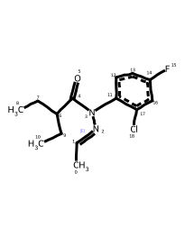 C/C=N/N(C(=O)C(CC)CC)c1ccc(F)cc1Cl